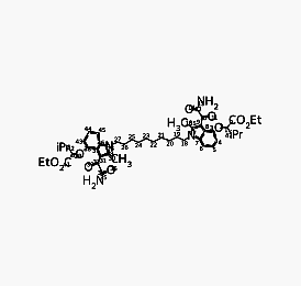 CCOC(=O)C(Oc1cccc2c1c(C(=O)C(N)=O)c(C)n2CCCCCCCCCCn1c(C)c(C(=O)C(N)=O)c2c(OC(C(=O)OCC)C(C)C)cccc21)C(C)C